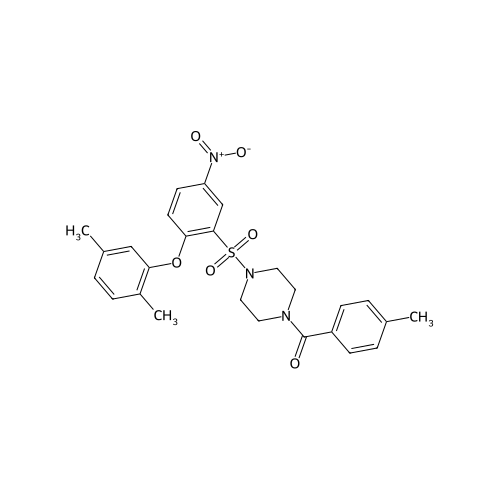 Cc1ccc(C(=O)N2CCN(S(=O)(=O)c3cc([N+](=O)[O-])ccc3Oc3cc(C)ccc3C)CC2)cc1